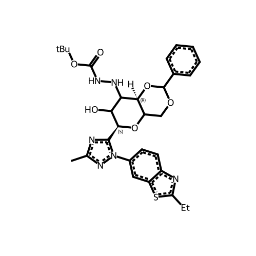 CCc1nc2ccc(-n3nc(C)nc3[C@@H]3OC4COC(c5ccccc5)O[C@@H]4C(NNC(=O)OC(C)(C)C)C3O)cc2s1